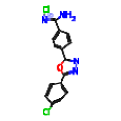 N/C(=N\Cl)c1ccc(-c2nnc(-c3ccc(Cl)cc3)o2)cc1